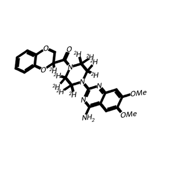 [2H]C1(C(=O)N2C([2H])([2H])C([2H])([2H])N(c3nc(N)c4cc(OC)c(OC)cc4n3)C([2H])([2H])C2([2H])[2H])COc2ccccc2O1